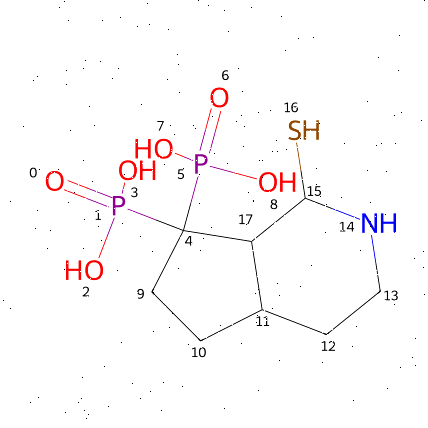 O=P(O)(O)C1(P(=O)(O)O)CCC2CCNC(S)C21